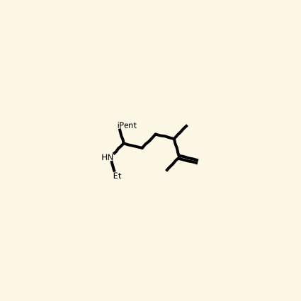 C=C(C)C(C)CCC(NCC)C(C)CCC